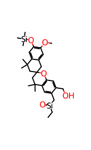 CC[Si](=O)Cc1cc2c(cc1CO)OC1(Cc3cc(OC)c(O[Si](C)(C)C)cc3C(C)(C)C1)CC2(C)C